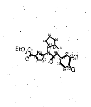 CCOC(=O)C(=O)c1csc(NC(=O)[C@H](CC2CCCC2)c2ccc(Cl)c(Cl)c2)n1